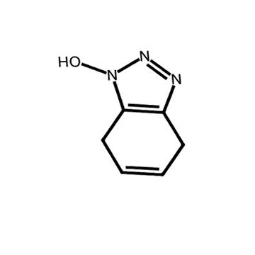 On1nnc2c1CC=CC2